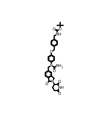 CC(C)(C)OC(=O)NCc1ccc(COc2ccc(N(Cc3ccc4c(c3)CN(C3CCC(=O)NC3=O)C4=O)C(N)=O)cc2)cc1